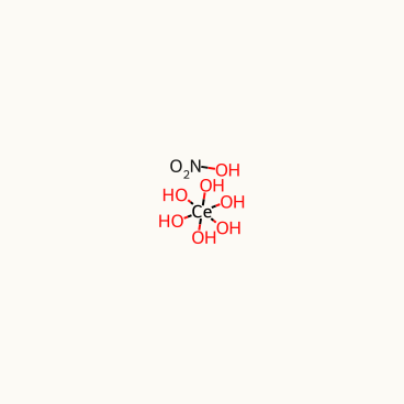 O=[N+]([O-])O.[OH][Ce]([OH])([OH])([OH])([OH])[OH]